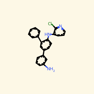 Nc1cccc(-c2ccc(Nc3cccnc3Cl)c(-c3ccccc3)c2)c1